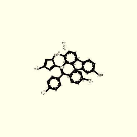 CCC1C=C(C(C)(C)C)C=[C]1[Zr+2](=[C](c1ccc(C(F)(F)F)cc1)c1ccc(C(F)(F)F)cc1)[c]1c(C(C)(C)C)ccc2c1Cc1cc(C(C)(C)C)ccc1-2.[Cl-].[Cl-]